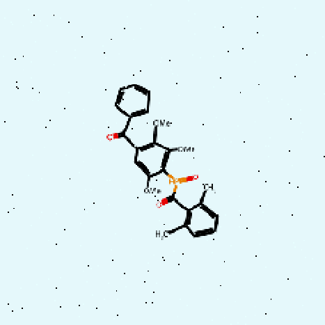 COc1cc(C(=O)c2ccccc2)c(OC)c(OC)c1[PH](=O)C(=O)c1c(C)cccc1C